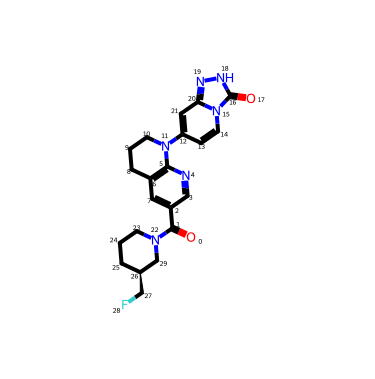 O=C(c1cnc2c(c1)CCCN2c1ccn2c(=O)[nH]nc2c1)N1CCC[C@H](CF)C1